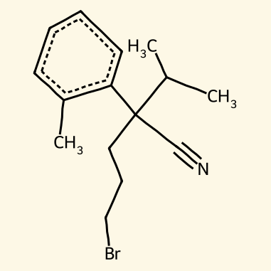 Cc1ccccc1C(C#N)(CCCBr)C(C)C